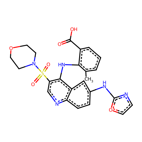 Cc1cccc(C(=O)O)c1Nc1c(S(=O)(=O)N2CCOCC2)cnc2ccc(Nc3ncco3)cc12